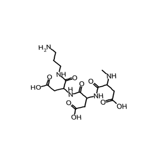 CNC(CC(=O)O)C(=O)NC(CC(=O)O)C(=O)NC(CC(=O)O)C(=O)NCCCN